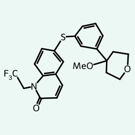 COC1(c2cccc(Sc3ccc4c(ccc(=O)n4CC(F)(F)F)c3)c2)CCOCC1